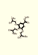 CCCCC(CC)COc1cc(C(=O)OCCC)cc(OCC(CC)CCCC)c1OCC(CC)CCCC